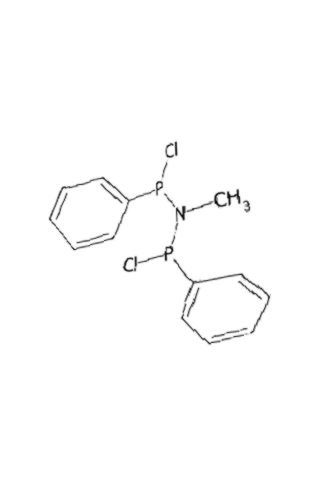 CN(P(Cl)c1ccccc1)P(Cl)c1ccccc1